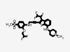 CN1CCC(Nc2cccc3c(C(F)C(F)F)c(C#CCNc4ccc(S(C)(=O)=O)cc4OCC(F)F)sc23)CC1